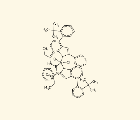 CCC(=O)N[B](NC(=O)CC)[Zr]([Cl])([Cl])([CH]1C(c2ccccc2)=Cc2c(-c3ccccc3C(C)(C)C)cccc21)[CH]1C(c2ccccc2)=Cc2c(-c3ccccc3C(C)(C)C)cccc21